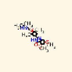 COc1cc(OC)c2c(=O)[nH]c(-c3cc(C)c(OCCNC(C)C)c(C)c3)nc2c1